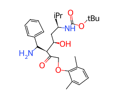 Cc1cccc(C)c1OCC(=O)[C@@H](C(N)c1ccccc1)[C@H](O)C[C@H](NC(=O)OC(C)(C)C)C(C)C